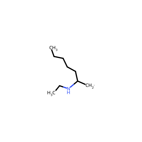 [CH2]C(CCCCC)NCC